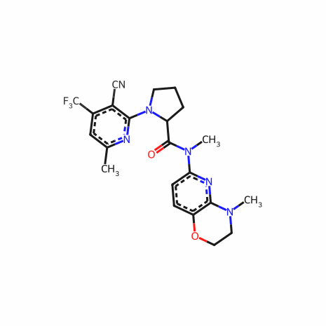 Cc1cc(C(F)(F)F)c(C#N)c(N2CCCC2C(=O)N(C)c2ccc3c(n2)N(C)CCO3)n1